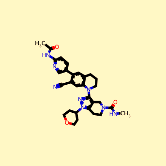 CNC(=O)N1CCc2c(c(N3CCCc4cc(-c5ccc(NC(C)=O)nc5)c(C#N)cc43)nn2C2CCOCC2)C1